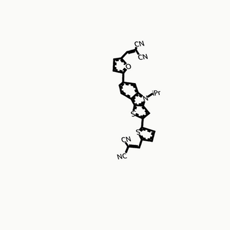 CC(C)n1c2cc(-c3ccc(C=C(C#N)C#N)o3)ccc2c2sc(-c3ccc(C=C(C#N)C#N)s3)cc21